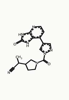 CC(C#N)C1CCN(C(=O)n2cc(-c3ccnc4[nH]c(=O)[nH]c34)cn2)C1